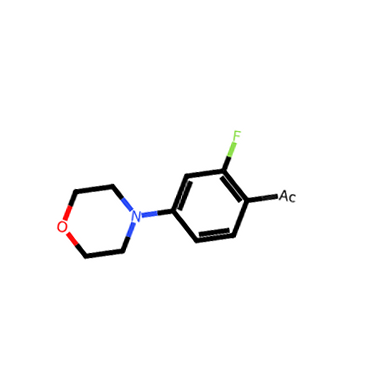 CC(=O)c1ccc(N2CCOCC2)cc1F